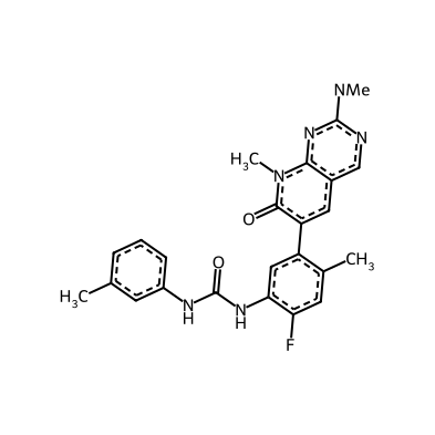 CNc1ncc2cc(-c3cc(NC(=O)Nc4cccc(C)c4)c(F)cc3C)c(=O)n(C)c2n1